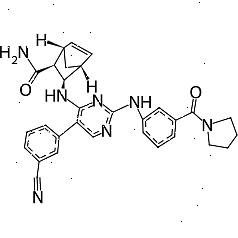 N#Cc1cccc(-c2cnc(Nc3cccc(C(=O)N4CCCC4)c3)nc2N[C@H]2[C@@H](C(N)=O)[C@@H]3C=C[C@H]2C3)c1